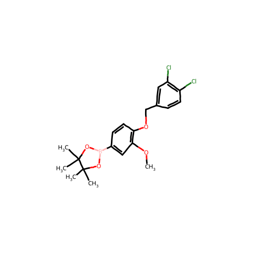 COc1cc(B2OC(C)(C)C(C)(C)O2)ccc1OCc1ccc(Cl)c(Cl)c1